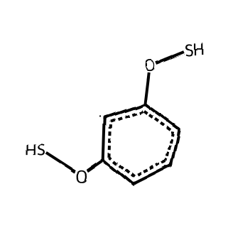 SOc1[c]c(OS)ccc1